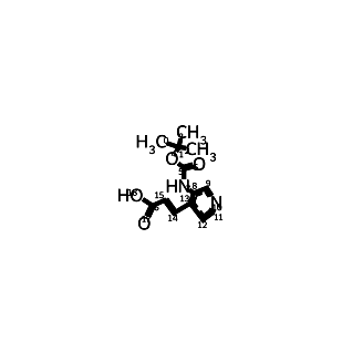 CC(C)(C)OC(=O)Nc1cnccc1/C=C/C(=O)O